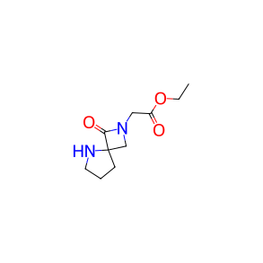 CCOC(=O)CN1CC2(CCCN2)C1=O